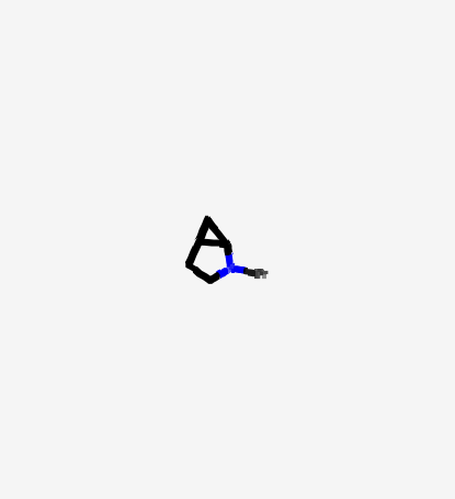 CC(C)N1CCC2CC21